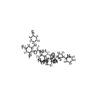 O=C(C[C@@H](c1ccc(F)cc1)c1cc(F)cc(F)c1)Nc1cncc(F)c1CC[C@]1(S(=O)(=O)c2ccc(-c3ccccn3)s2)CNCCN1